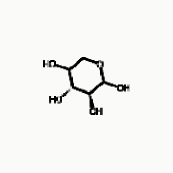 OC1COC(O)[C@@H](O)[C@@H]1O